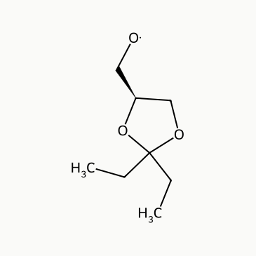 CCC1(CC)OC[C@H](C[O])O1